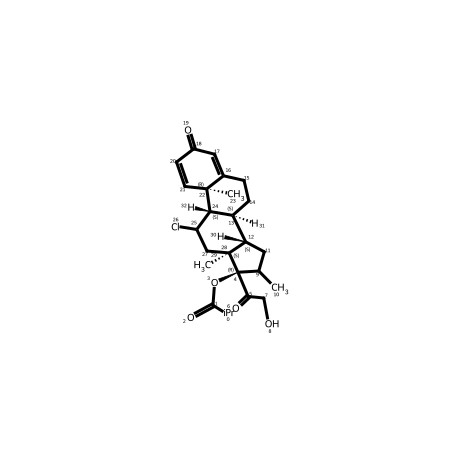 CC(C)C(=O)O[C@]1(C(=O)CO)C(C)C[C@H]2[C@@H]3CCC4=CC(=O)C=C[C@]4(C)[C@H]3C(Cl)C[C@@]21C